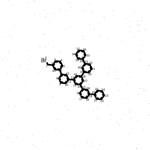 BrCc1cccc(-c2cccc(-c3cc(-c4cccc(-c5ccccc5)c4)cc(-c4cccc(-c5ccccc5)c4)c3)c2)c1